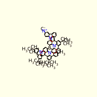 [C-]#[N+]c1ccc2c(c1)c1ccccc1n2-c1ccc2c(c1)N(c1c(-c3ccccc3)cc(C(C)(C)C)cc1-c1ccccc1)c1cc(C)cc3c1B2c1ccc(-n2c4ccc(C(C)(C)C)cc4c4cc(C(C)(C)C)ccc42)cc1N3c1c(-c2ccccc2)cc(C(C)(C)C)cc1-c1ccccc1